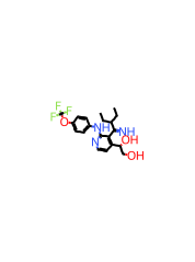 CCC(CC)C(=N)c1c(C(O)CO)ccnc1Nc1ccc(OC(F)(F)F)cc1